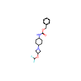 O=C(NC1CCC(N2CC(OC(F)F)C2)CC1)OCc1ccccc1